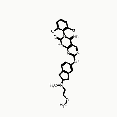 COCCN(C)C1Cc2ccc(Nc3ncc4c(=N)n(-c5c(Cl)cccc5Cl)c(=O)[nH]c4n3)cc2C1